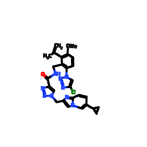 C=C(C)c1c(OC)ccc(-n2cc(Cl)nn2)c1CNC(=O)c1cn(Cc2cn3cc(C4CC4)ccc3n2)nn1